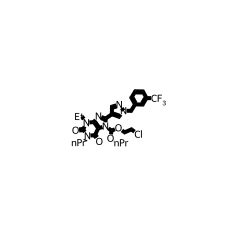 CCCOC(OCCCl)n1c(-c2cnn(Cc3cccc(C(F)(F)F)c3)c2)nc2c1c(=O)n(CCC)c(=O)n2CC